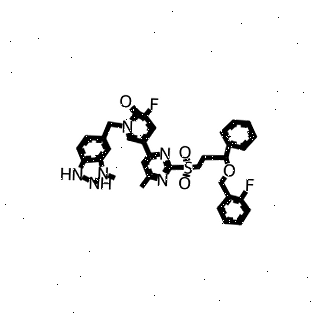 Cc1cc(-c2cc(F)c(=O)n(Cc3ccc4c(c3)N(C)NN4)c2)nc(S(=O)(=O)CCC(OCc2ccccc2F)c2ccccc2)n1